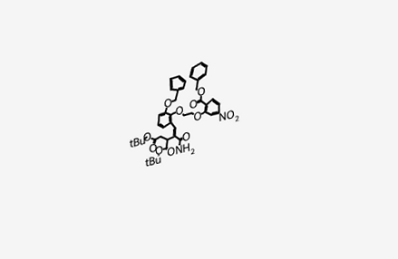 CC(C)(C)OC(=O)CC(C(=O)OC(C)(C)C)/C(=C\c1cccc(OCc2ccccc2)c1OCCOc1cc([N+](=O)[O-])ccc1C(=O)OCc1ccccc1)C(N)=O